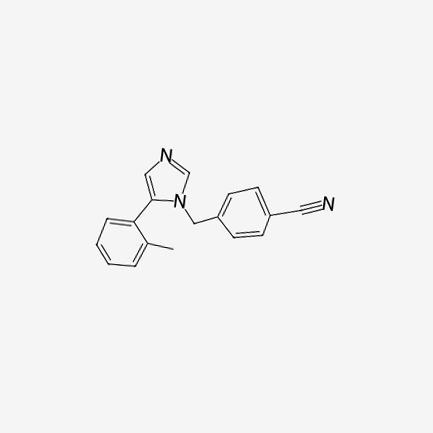 Cc1ccccc1-c1cncn1Cc1ccc(C#N)cc1